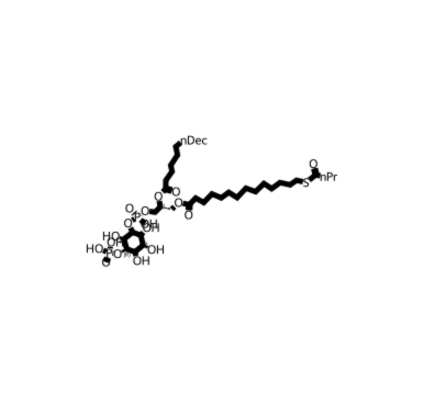 CCCCCCCCCCCCCCCC(=O)O[C@H](COC(=O)CCCCCCCCCCCCCSC(=O)CCC)COP(=O)(O)OC1C(O)[C@@H](O)C(O)[C@@H](OP(=O)(O)O)[C@H]1O